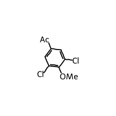 COc1c(Cl)cc(C(C)=O)cc1Cl